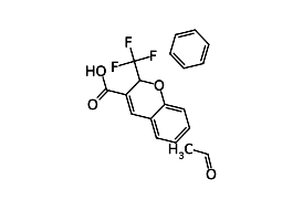 CC=O.O=C(O)C1=Cc2ccccc2OC1C(F)(F)F.c1ccccc1